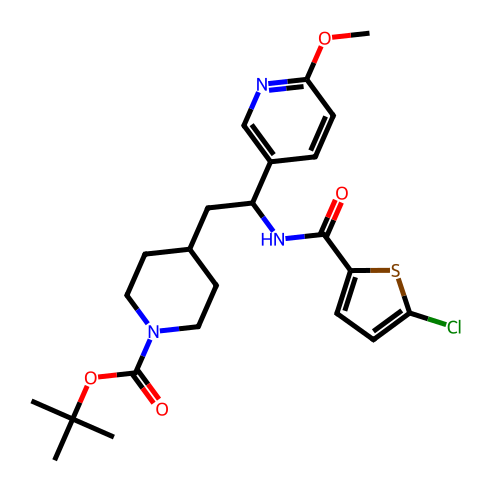 COc1ccc(C(CC2CCN(C(=O)OC(C)(C)C)CC2)NC(=O)c2ccc(Cl)s2)cn1